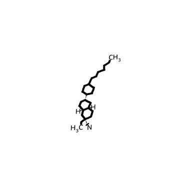 CCCCCCCC1CCC([C@H]2CC[C@@H]3C[C@](C#N)(CC)CC[C@@H]3C2)CC1